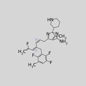 C=C(F)/C=C(\C=C/CC1=NC2(C3CCCNC3)N=C(N)C1=C2C)Cc1c(F)c(C)cc(F)c1F